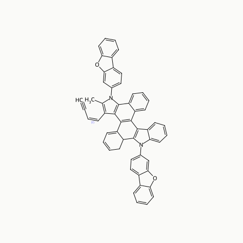 C#C/C=C\c1c(C)n(-c2ccc3c(c2)oc2ccccc23)c2c1c1c(c3ccccc32)-c2c(n(-c3ccc4c(c3)oc3ccccc34)c3ccccc23)C2CC=CC=C12